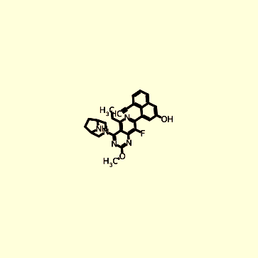 C#Cc1cccc2cc(O)cc(-c3nc(CC)c4c(N5CC6CCC(C5)N6)nc(OC)nc4c3F)c12